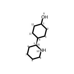 OC1CCC([C@@H]2CCCCN2)CC1